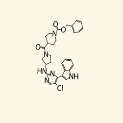 O=C(OCc1ccccc1)N1CCC(C(=O)N2CCC(Nc3ncc(Cl)c(-c4c[nH]c5ccccc45)n3)C2)CC1